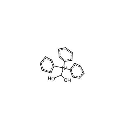 OC(O)[N+](c1ccccc1)(c1ccccc1)c1ccccc1